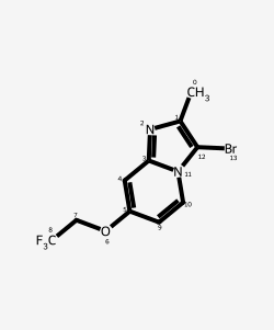 Cc1nc2cc(OCC(F)(F)F)ccn2c1Br